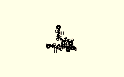 COc1ccc(C(OCC2OC(n3ccc(NC(=O)COc4ccccc4)nc3=O)C(F)C2OP(OCCSC(=O)C(C)(C)CNC(=O)Cc2ccccc2)N(C(C)C)C(C)C)(c2ccccc2)c2ccc(OC)cc2)cc1